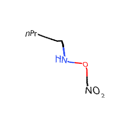 CCCCNO[N+](=O)[O-]